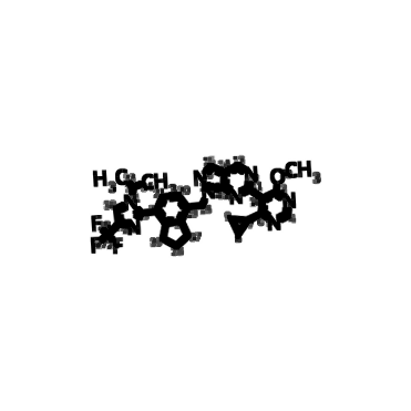 COc1ncnc(C2CC2)c1-c1ncc2cnn(Cc3ccc(-c4nc(C(F)(F)F)cn4C(C)C)c4c3CCC4)c2n1